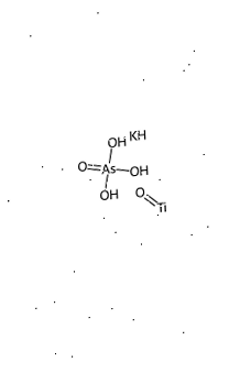 O=[As](O)(O)O.[KH].[O]=[Ti]